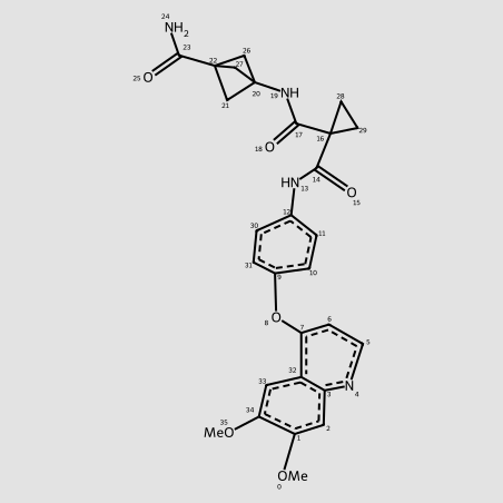 COc1cc2nccc(Oc3ccc(NC(=O)C4(C(=O)NC56CC(C(N)=O)(C5)C6)CC4)cc3)c2cc1OC